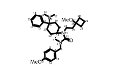 COc1ccc(CN2C[C@]3(CC[C@](c4ccccc4)(N(C)C)CC3)N(CCC3(OC)CCC3)C2=O)cc1